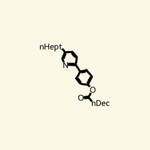 CCCCCCCCCCC(=O)Oc1ccc(-c2ccc(CCCCCCC)cn2)cc1